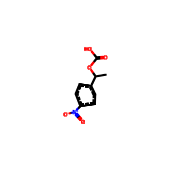 CC(OC(=O)O)c1ccc([N+](=O)[O-])cc1